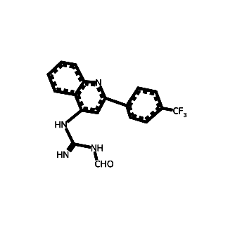 N=C(NC=O)Nc1cc(-c2ccc(C(F)(F)F)cc2)nc2ccccc12